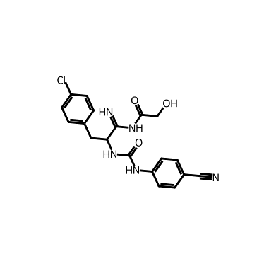 N#Cc1ccc(NC(=O)NC(Cc2ccc(Cl)cc2)C(=N)NC(=O)CO)cc1